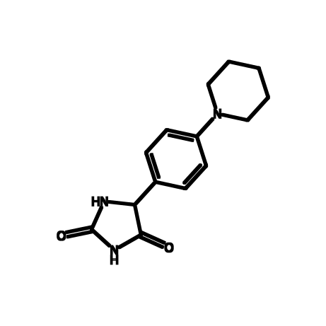 O=C1NC(=O)C(c2ccc(N3CCCCC3)cc2)N1